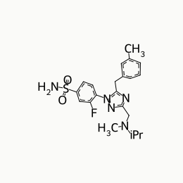 Cc1cccc(Cc2nc(CN(C)C(C)C)nn2-c2ccc(S(N)(=O)=O)cc2F)c1